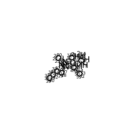 [2H]c1c([2H])c([2H])c(-c2c3ccccc3c(-c3nc(-c4ccccc4)nc(-c4cccc5c4ccc4cc6ccccc6cc45)n3)c3ccc(-c4ccccc4)cc23)c([2H])c1[2H]